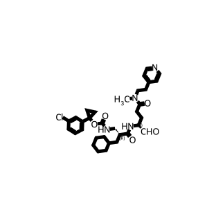 CN(CCc1ccncc1)C(=O)CC[C@@H](C=O)NC(=O)[C@@H](CNC(=O)OC1(c2cccc(Cl)c2)CC1)CC1CCCCC1